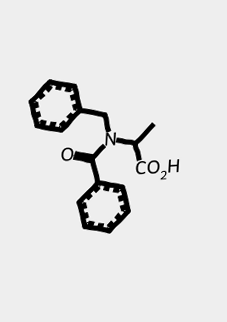 CC(C(=O)O)N(Cc1ccccc1)C(=O)c1ccccc1